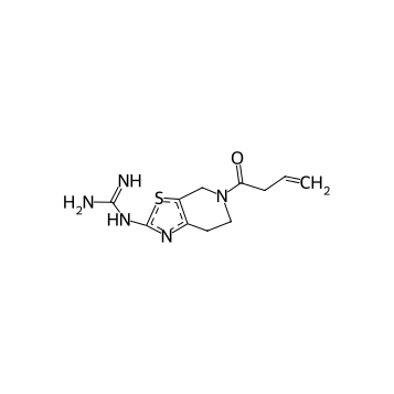 C=CCC(=O)N1CCc2nc(NC(=N)N)sc2C1